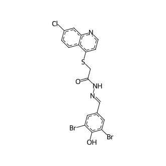 O=C(CSc1ccnc2cc(Cl)ccc12)NN=Cc1cc(Br)c(O)c(Br)c1